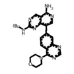 CC(C)(C)Nc1ncc2c(N)ncc(-c3ccc4c(N5CCOCC5)ncnc4c3)c2n1